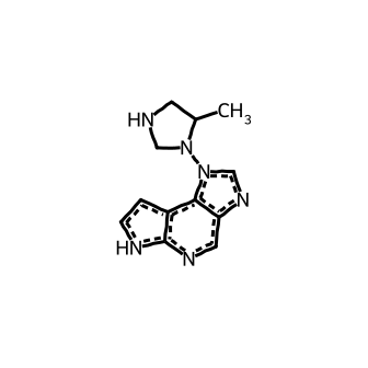 CC1CNCN1n1cnc2cnc3[nH]ccc3c21